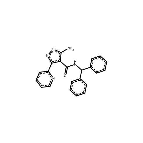 Nc1onc(-c2ccccn2)c1C(=O)NC(c1ccccc1)c1ccccc1